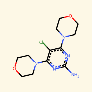 Nc1nc(N2CCOCC2)c(Cl)c(N2CCOCC2)n1